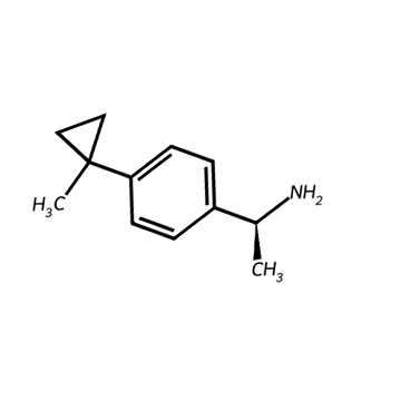 C[C@H](N)c1ccc(C2(C)CC2)cc1